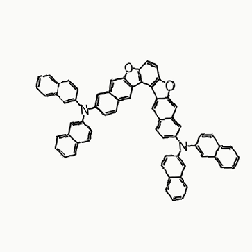 c1ccc2cc(N(c3ccc4ccccc4c3)c3ccc4cc5c(cc4c3)oc3ccc4oc6cc7cc(N(c8ccc9ccccc9c8)c8ccc9ccccc9c8)ccc7cc6c4c35)ccc2c1